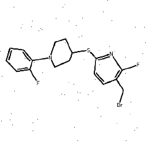 Fc1ccccc1N1CCC(Sc2ccc(CBr)c(F)n2)CC1